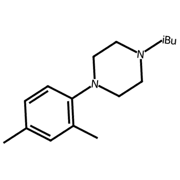 [CH2]CC(C)N1CCN(c2ccc(C)cc2C)CC1